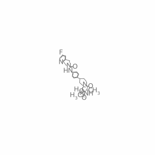 CC(C)(NS(C)(=O)=O)C(=O)N1CCC(c2ccc(NC(=O)N3Cc4cc(F)cnc4C3)cc2)CC1